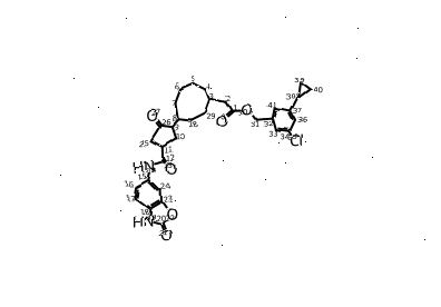 O=C(CC1CCCCC(C2CC(C(=O)Nc3ccc4[nH]c(=O)oc4c3)CC2=O)CC1)OCc1cc(Cl)cc(C2CC2)c1